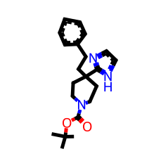 CC(C)(C)OC(=O)N1CCC(CCc2ccccc2)(c2ncc[nH]2)CC1